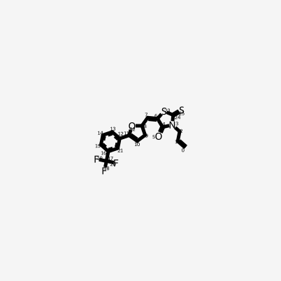 C=CCN1C(=O)/C(=C\C2CC=C(c3cccc(C(F)(F)F)c3)O2)SC1=S